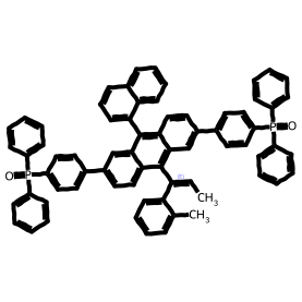 C/C=C(\c1ccccc1C)c1c2cc(-c3ccc(P(=O)(c4ccccc4)c4ccccc4)cc3)ccc2c(-c2cccc3ccccc23)c2cc(-c3ccc(P(=O)(c4ccccc4)c4ccccc4)cc3)ccc12